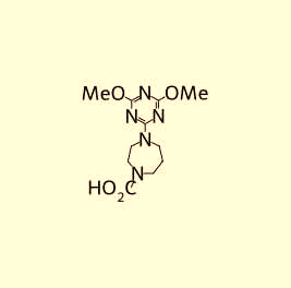 COc1nc(OC)nc(N2CCCN(C(=O)O)CC2)n1